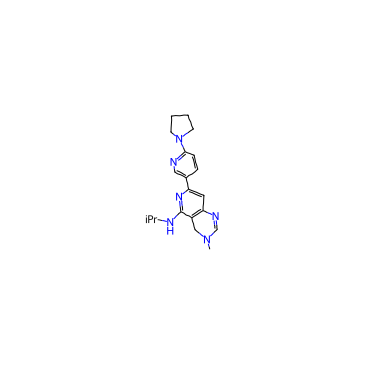 CC(C)Nc1nc(-c2ccc(N3CCCC3)nc2)cc2c1CN(C)C=N2